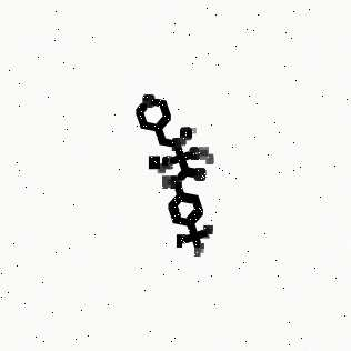 CC(C)(C(=O)Nc1ccc(C(F)(F)F)cc1)[S@@+]([O-])CC1CCOCC1